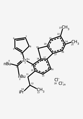 CCCC[C](CCCC)=[Zr+2]([C]1=CC=CC1)[c]1c(CC(C)C(C)C)ccc2c1Cc1cc(C)c(C)cc1-2.[Cl-].[Cl-]